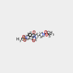 CC1(OC(=O)N2CCC(CCC(C(=O)c3ccc4c(c3)CCN(S(C)(=O)=O)C4)N3CCOCC3)CC2)CC1